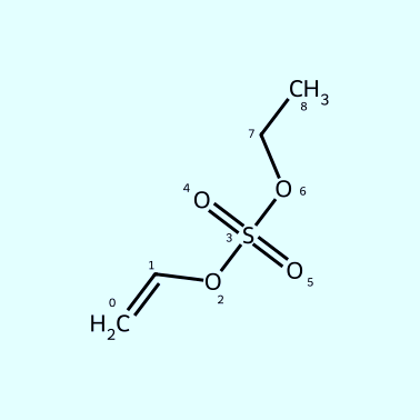 C=COS(=O)(=O)OCC